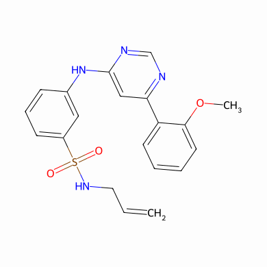 C=CCNS(=O)(=O)c1cccc(Nc2cc(-c3ccccc3OC)ncn2)c1